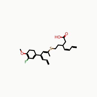 C=C/C=C\C(CCS/C(C)=C/C(=C\C=C)C1=CC(F)=C(OC)CC1)CC(=O)O